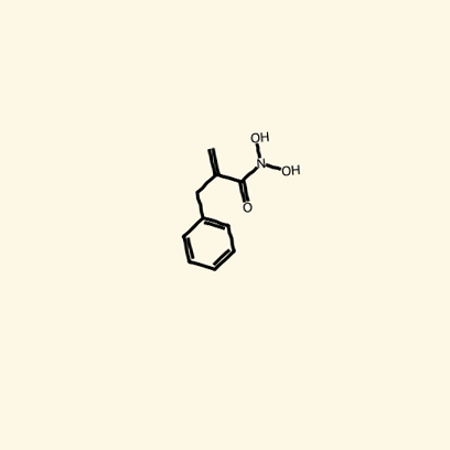 C=C(Cc1ccccc1)C(=O)N(O)O